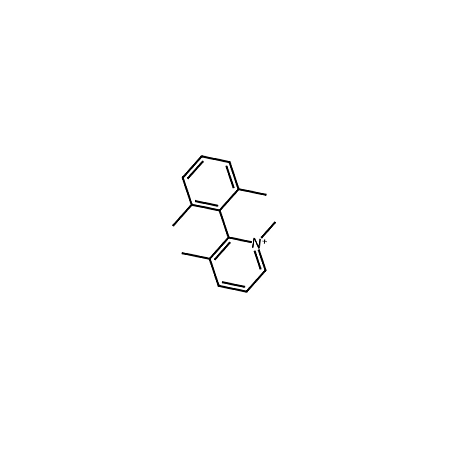 Cc1cccc(C)c1-c1c(C)ccc[n+]1C